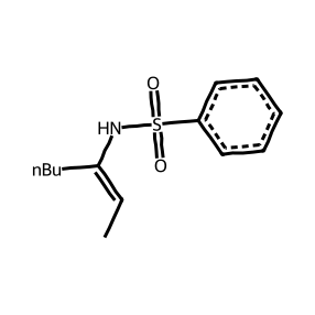 CC=C(CCCC)NS(=O)(=O)c1ccccc1